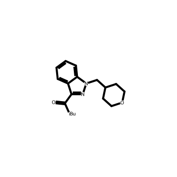 CCC(C)C(=O)c1nn(CC2CCOCC2)c2ccccc12